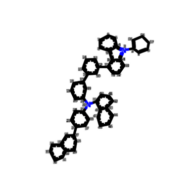 C1=CC(n2c3ccccc3c3c(-c4cccc(-c5cccc(N(c6ccc(-c7ccc8ccccc8c7)cc6)c6cccc7ccccc67)c5)c4)cccc32)=CCC1